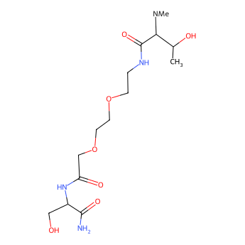 CNC(C(=O)NCCOCCOCC(=O)NC(CO)C(N)=O)C(C)O